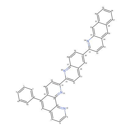 c1ccc(-c2cc3cccnc3c3nc(-c4ccc5cc(-c6ccc7cc8ccccc8cc7n6)ccc5n4)ccc23)cc1